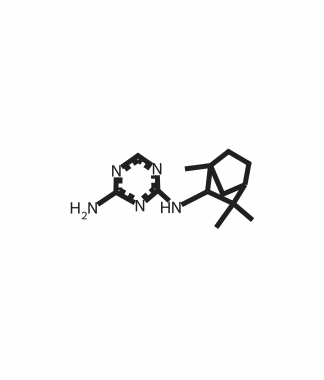 CC12CCC(C1)C(C)(C)C2Nc1ncnc(N)n1